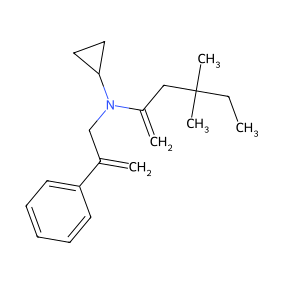 C=C(CN(C(=C)CC(C)(C)CC)C1CC1)c1ccccc1